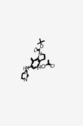 CC(=O)O.Cc1c(NN2C=NCC2)ccc2c1N(C(=O)OC(C)(C)C)CC2